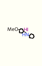 COc1ccc(CNc2ccccc2)cc1.I